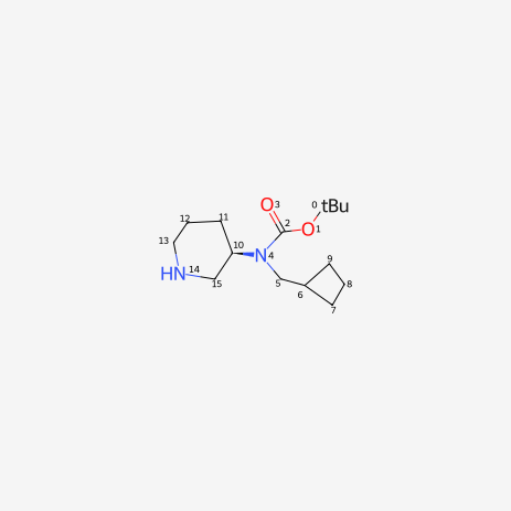 CC(C)(C)OC(=O)N(CC1CCC1)[C@@H]1CCCNC1